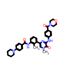 Cc1c(NC(=O)c2ccc(N3CCCCC3)cc2)cccc1-c1cn(C)c(=O)c(Nc2ccc(C(=O)N3CCOCC3)cc2)n1